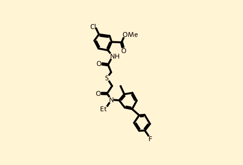 CCN(C(=O)CSCC(=O)Nc1ccc(Cl)cc1C(=O)OC)c1cc(-c2ccc(F)cc2)ccc1C